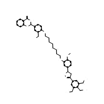 COc1ccc(C2CC(c3cc(CO)c(CO)c(CO)c3)=NO2)cc1OCCCCCCCCOc1ccc(C2NC(=O)c3ccccc3N2)cc1CO